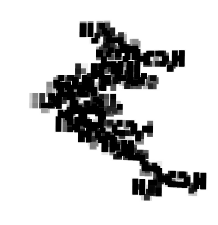 CC(C)[C@H](N)C(=O)O.CSCC[C@H](N)C(=O)O.C[C@H](N)C(=O)O.NCCCC[C@H](N)C(=O)O.NCCCC[C@H](N)C(=O)O.N[C@@H](Cc1c[nH]c2ccccc12)C(=O)O